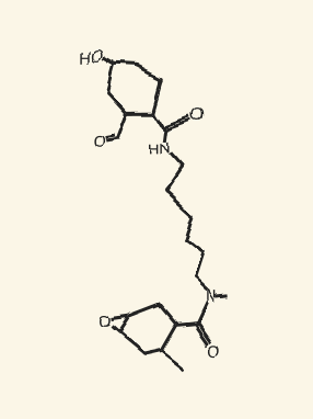 CC1CC2OC2CC1C(=O)N(C)CCCCCCNC(=O)C1CCC(O)CC1C=O